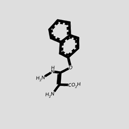 NN/C(Oc1ccc2ccccc2c1)=C(\N)C(=O)O